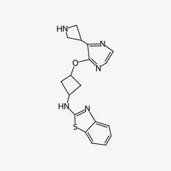 c1ccc2sc(NC3CC(Oc4nccnc4C4CNC4)C3)nc2c1